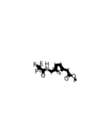 COC(=O)Cc1ccc(CNC(=O)C(F)(F)F)s1